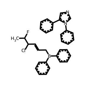 CC(F)C(Cl)C=CCB(c1ccccc1)c1ccccc1.c1ccc(-c2cncn2-c2ccccc2)cc1